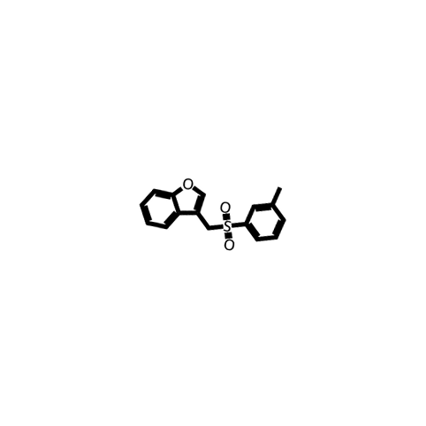 Cc1cccc(S(=O)(=O)Cc2coc3ccccc23)c1